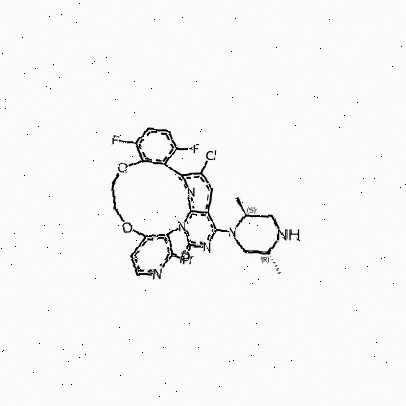 CC(C)c1nccc2c1-n1c(=O)nc(N3C[C@@H](C)NC[C@@H]3C)c3cc(Cl)c(nc31)-c1c(F)ccc(F)c1OCCO2